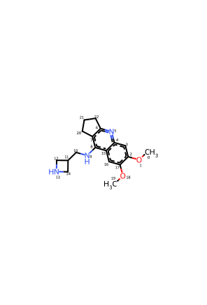 COc1cc2nc3c(c(NCC4CNC4)c2cc1OC)CCC3